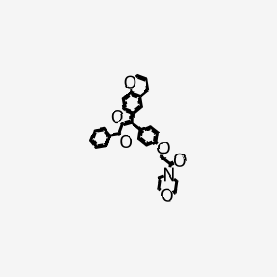 O=C(c1ccccc1)c1oc2cc3c(cc2c1-c1ccc(OCC(=O)N2CCOCC2)cc1)CC=CO3